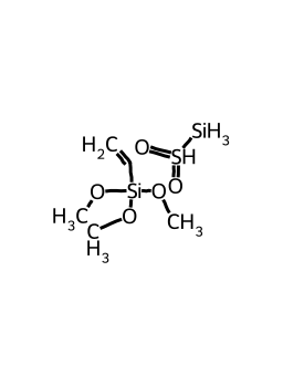 C=C[Si](OC)(OC)OC.O=[SH](=O)[SiH3]